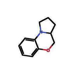 c1ccc2c(c1)OCC1CCCN21